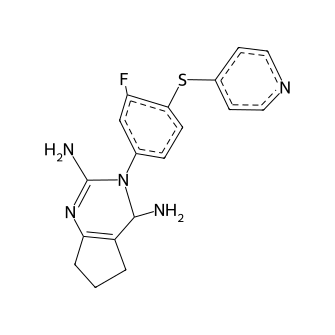 NC1=NC2=C(CCC2)C(N)N1c1ccc(Sc2ccncc2)c(F)c1